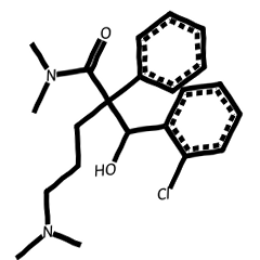 CN(C)CCCC(C(=O)N(C)C)(c1ccccc1)C(O)c1ccccc1Cl